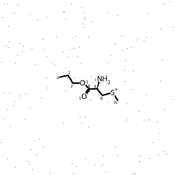 CCCOC(=O)[C@@H](N)CSC